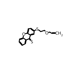 C=CCOCCSc1ccc2oc3ccccc3c(=S)c2c1